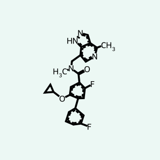 Cc1ncc(CN(C)C(=O)c2cc(OC3CC3)c(-c3cccc(F)c3)cc2F)c2[nH]ncc12